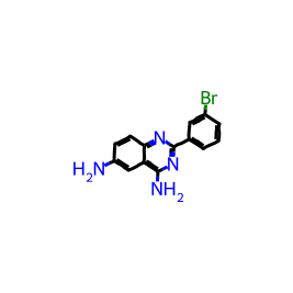 Nc1ccc2nc(-c3cccc(Br)c3)nc(N)c2c1